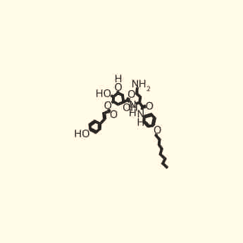 CCCCCCCCOc1ccc(NC(=O)C(CCCN)NC(=O)C2(O)CC(O)C(O)C(OC(=O)/C=C/c3ccc(O)cc3)C2)cc1